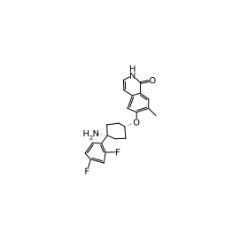 Cc1cc2c(=O)[nH]ccc2cc1O[C@H]1CC[C@](N)(c2ccc(F)cc2F)CC1